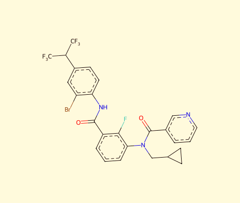 O=C(Nc1ccc(C(C(F)(F)F)C(F)(F)F)cc1Br)c1cccc(N(CC2CC2)C(=O)c2cccnc2)c1F